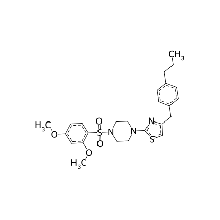 CCCc1ccc(Cc2csc(N3CCN(S(=O)(=O)c4ccc(OC)cc4OC)CC3)n2)cc1